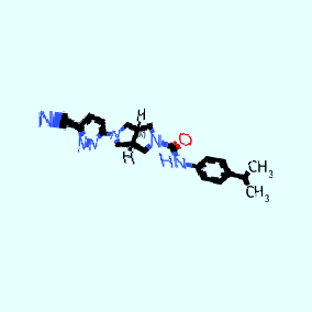 CC(C)c1ccc(NC(=O)N2C[C@@H]3CN(c4ccc(C#N)nn4)C[C@@H]3C2)cc1